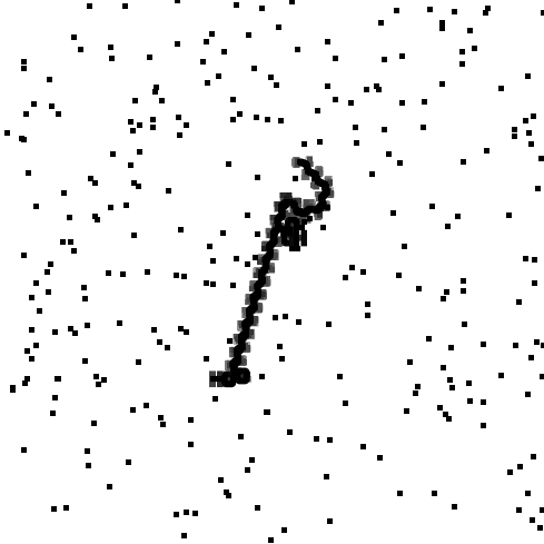 CCCCC/C=C\C/C=C\C/C=C\C/C=C\CCC(CCCCCCCCCC=CC=CC=CC=CC=CC=CC(=O)O)C(=O)O